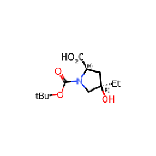 CC[C@@]1(O)C[C@H](C(=O)O)N(C(=O)OC(C)(C)C)C1